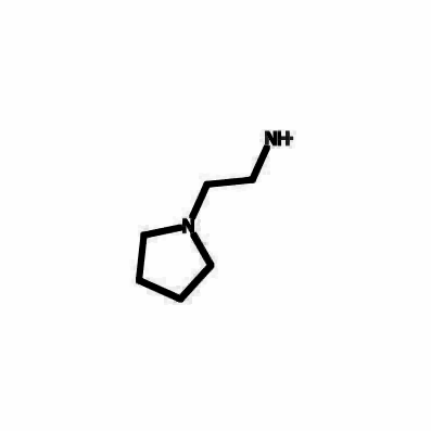 [NH]CCN1CCCC1